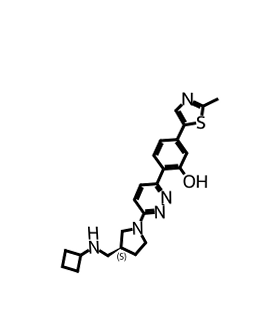 Cc1ncc(-c2ccc(-c3ccc(N4CC[C@@H](CNC5CCC5)C4)nn3)c(O)c2)s1